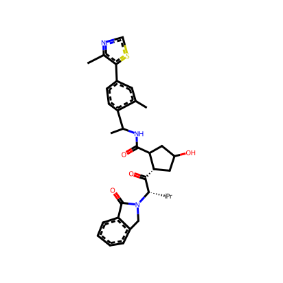 Cc1cc(-c2scnc2C)ccc1C(C)NC(=O)C1CC(O)C[C@@H]1C(=O)[C@H](C(C)C)N1Cc2ccccc2C1=O